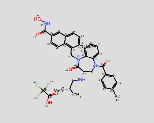 CN[C@@H](C)CN[C@H]1CN(C(=O)c2ccc(C(C)=O)cc2)c2ccccc2N(Cc2c(OC)ccc3cc(C(=O)NO)ccc23)C1=O.O=C(O)C(F)(F)F